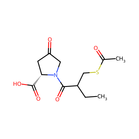 CCC(CSC(C)=O)C(=O)N1CC(=O)C[C@H]1C(=O)O